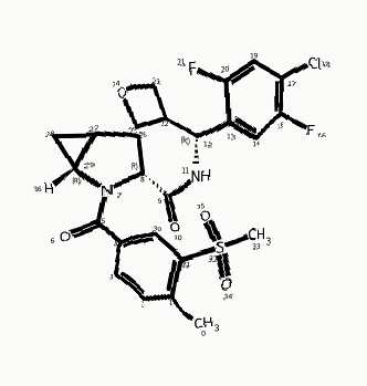 Cc1ccc(C(=O)N2[C@@H](C(=O)N[C@@H](c3cc(F)c(Cl)cc3F)C3COC3)CC3C[C@H]32)cc1S(C)(=O)=O